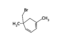 CC1=CC=CC(C)(CBr)C1